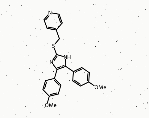 COc1ccc(-c2nc(SCc3ccncc3)[nH]c2-c2ccc(OC)cc2)cc1